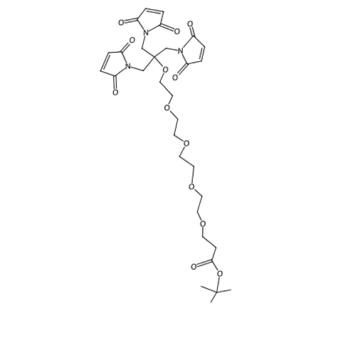 CC(C)(C)OC(=O)CCOCCOCCOCCOCCOC(CN1C(=O)C=CC1=O)(CN1C(=O)C=CC1=O)CN1C(=O)C=CC1=O